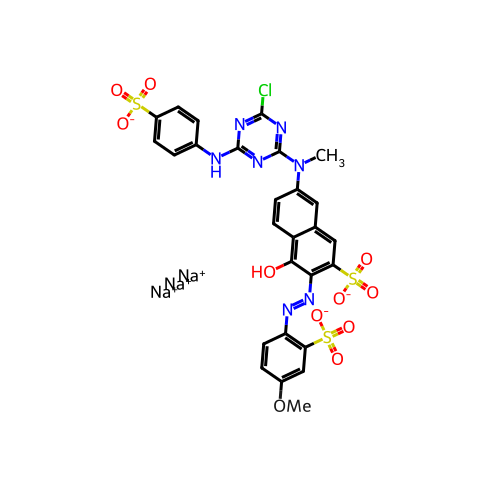 COc1ccc(N=Nc2c(S(=O)(=O)[O-])cc3cc(N(C)c4nc(Cl)nc(Nc5ccc(S(=O)(=O)[O-])cc5)n4)ccc3c2O)c(S(=O)(=O)[O-])c1.[Na+].[Na+].[Na+]